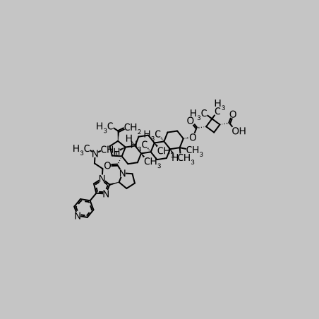 C=C(C)[C@@H]1CC[C@]2(C(=O)N3CCC[C@H]3c3nc(-c4ccncc4)cn3CCN(C)C)CC[C@]3(C)[C@H](CC[C@@]4(C)[C@@]3(C)CC[C@H]3C(C)(C)[C@@H](OC(=O)[C@H]5C[C@@H](C(=O)O)C5(C)C)CC[C@@]34C)[C@@H]12